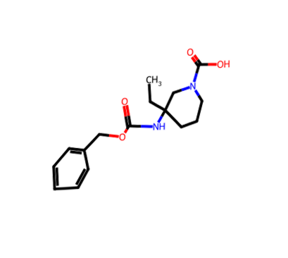 CCC1(NC(=O)OCc2ccccc2)CCCN(C(=O)O)C1